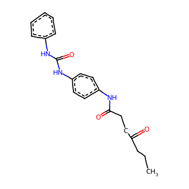 CCCC(=O)CCC(=O)Nc1ccc(NC(=O)Nc2ccccc2)cc1